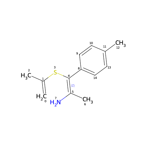 C=C(C)S/C(=C(/C)N)c1ccc(C)cc1